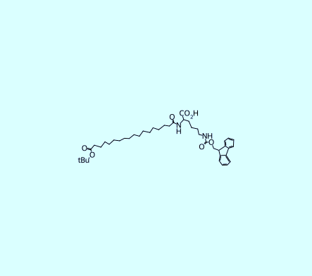 CC(C)(C)OC(=O)CCCCCCCCCCCCCCCCC(=O)NC(CCCCNC(=O)OCC1c2ccccc2-c2ccccc21)C(=O)O